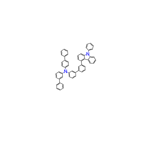 c1ccc(-c2ccc(N(c3cccc(-c4ccccc4)c3)c3cccc(-c4cccc(-c5cccc6c5c5ccccc5n6-c5ccccc5)c4)c3)cc2)cc1